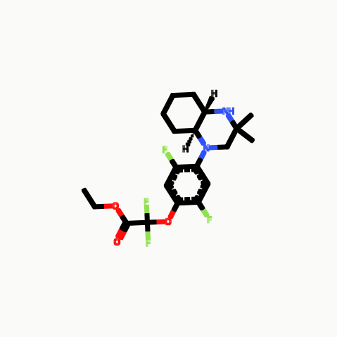 CCOC(=O)C(F)(F)Oc1cc(F)c(N2CC(C)(C)N[C@H]3CCCC[C@@H]32)cc1F